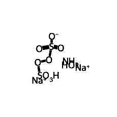 N.O=S(=O)([O-])OOS(=O)(=O)O.[Na+].[Na+].[OH-]